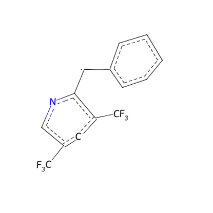 FC(F)(F)c1cnc([CH]c2ccccc2)c(C(F)(F)F)c1